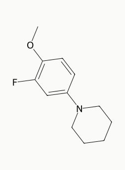 COc1ccc(N2CCCCC2)cc1F